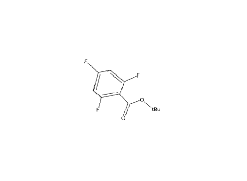 CC(C)(C)OC(=O)c1c(F)cc(F)cc1F